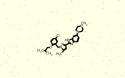 Cc1cc(-c2nc3ccc(N4CCN(C)CC4)cc3[nH]2)nn1Cc1cc(Cl)ccc1OCC(C)C